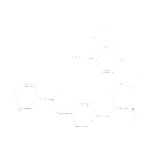 CCC1OC(=O)N(Cc2ccc(NC(=O)c3ccncc3)cc2)N=C1c1ccc(OC(F)(F)F)c(OC)c1